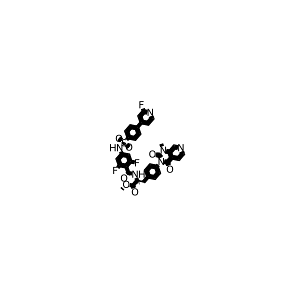 COC(=O)[C@H](Cc1ccc(-n2c(=O)c3ccncc3n(C)c2=O)cc1)NC(=O)c1c(F)cc(NS(=O)(=O)c2ccc(-c3ccnc(F)c3)cc2)cc1F